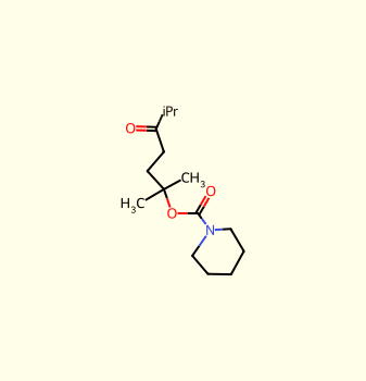 CC(C)C(=O)CCC(C)(C)OC(=O)N1CCCCC1